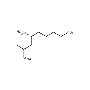 CCCCCCCCCCCCCC[C@H]([CH]C(C)CCCCCC)C(=O)O